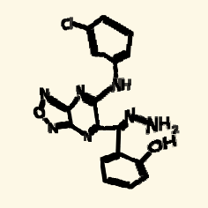 NN=C(c1ccccc1O)c1nc2nonc2nc1Nc1cccc(Cl)c1